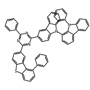 c1ccc(-c2nc(-c3ccc4sc5cccc(-c6ccccc6)c5c4c3)nc(-c3ccc4c(c3)c3ccccc3n4-c3cccc4c5ccccc5n(-c5ccccc5)c34)n2)cc1